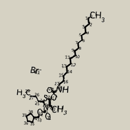 CCCCCCCCCCCCCCCCCCNC(=O)Oc1sc(CCCC)[n+](C(=O)OCC2CCCC2)c1C.[Br-]